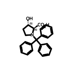 O=C(O)[C@@H]1[C@@H](O)CCN1C(c1ccccc1)(c1ccccc1)c1ccccc1